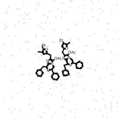 CC(=O)Oc1c(Cc2cc(C)c(C(C)C)o2)nc2c(Cc3ccccc3)nc(-c3ccccc3)cn12.CCc1cc(Cc2nc3c(Cc4ccccc4)nc(-c4ccccc4)cn3c2OC(C)=O)oc1C